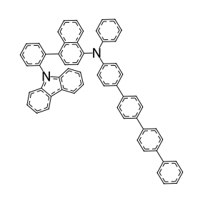 c1ccc(-c2ccc(-c3ccc(-c4ccc(N(c5ccccc5)c5ccc(-c6ccccc6-n6c7ccccc7c7ccccc76)c6ccccc56)cc4)cc3)cc2)cc1